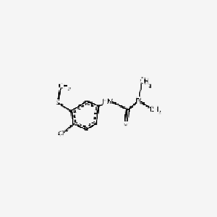 CSc1cc(NC(=O)N(C)C)ccc1Cl